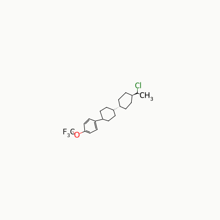 CC(Cl)[C@H]1CC[C@H](C2CCC(c3ccc(OC(F)(F)F)cc3)CC2)CC1